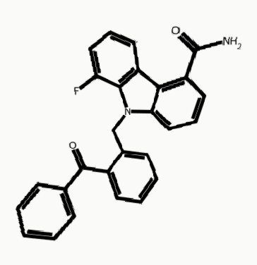 NC(=O)c1cccc2c1c1[c]ccc(F)c1n2Cc1ccccc1C(=O)c1ccccc1